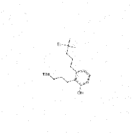 CCC(C)(C)CCCc1cccc(O)c1CCCC(C)(C)C